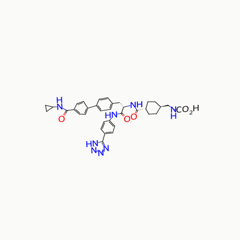 O=C(O)NC[C@H]1CC[C@H](C(=O)N[C@@H](Cc2ccc(-c3ccc(C(=O)NC4CC4)cc3)cc2)C(=O)Nc2ccc(-c3nnn[nH]3)cc2)CC1